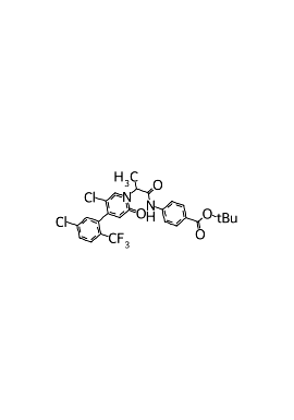 CC(C(=O)Nc1ccc(C(=O)OC(C)(C)C)cc1)n1cc(Cl)c(-c2cc(Cl)ccc2C(F)(F)F)cc1=O